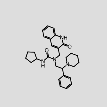 O=C(NC1CCCC1)N(Cc1cc2ccccc2[nH]c1=O)CC(c1ccccc1)N1CCCCC1